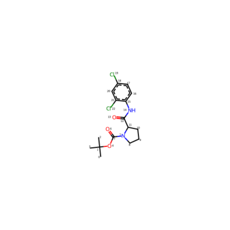 CC(C)(C)OC(=O)N1CCCC1C(=O)Nc1ccc(Cl)cc1Cl